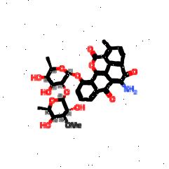 CO[C@H]1[C@@H](O)[C@@H](C)O[C@H](O[C@H]2[C@H](Oc3cccc4c(=O)c5c(N)c(=O)c6ccc(C)c7c(=O)oc(c-5c67)c34)O[C@H](C)[C@H](O)[C@@H]2O)[C@@H]1O